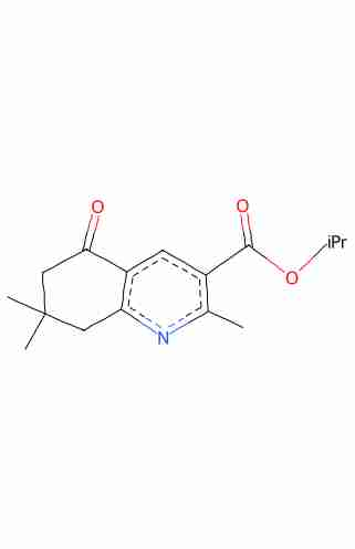 Cc1nc2c(cc1C(=O)OC(C)C)C(=O)CC(C)(C)C2